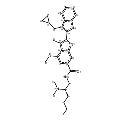 CCCC[C@H](CNC(=O)c1cc(OC)c2c(c1)nc(-c1cc3cccnc3n1CC1CC1)n2C)N(C)C